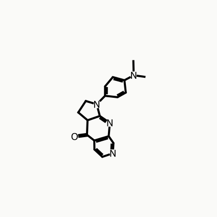 CN(C)c1ccc(N2CCC3C(=O)c4ccncc4N=C32)cc1